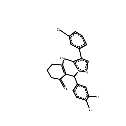 O=C1CCCC2=C1C(c1ccc(Cl)c(Cl)c1)n1ncc(-c3cccc(Cl)c3)c1N2